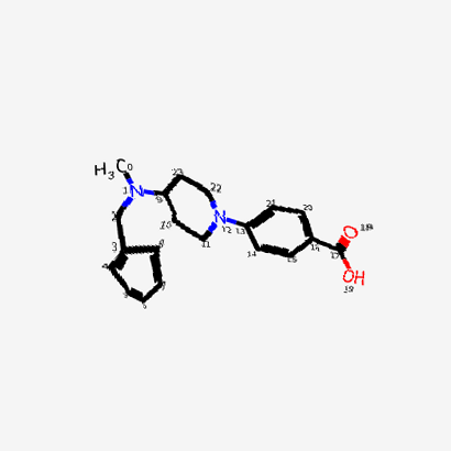 CN(Cc1ccccc1)C1CCN(c2ccc(C(=O)O)cc2)CC1